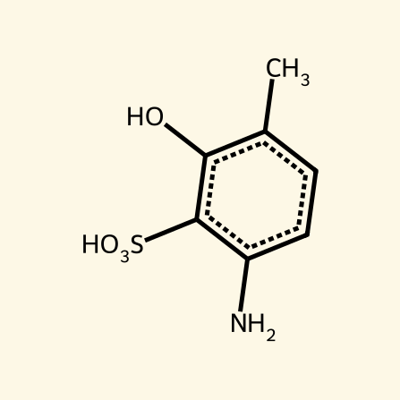 Cc1ccc(N)c(S(=O)(=O)O)c1O